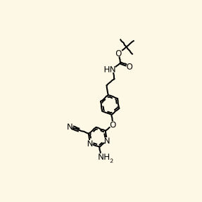 CC(C)(C)OC(=O)NCCc1ccc(Oc2cc(C#N)nc(N)n2)cc1